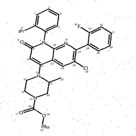 CC(C)c1ccccc1-n1c(=O)cc(N2CCN(C(=O)OC(C)(C)C)CC2C)c2cc(Cl)c(-c3ccccc3F)nc21